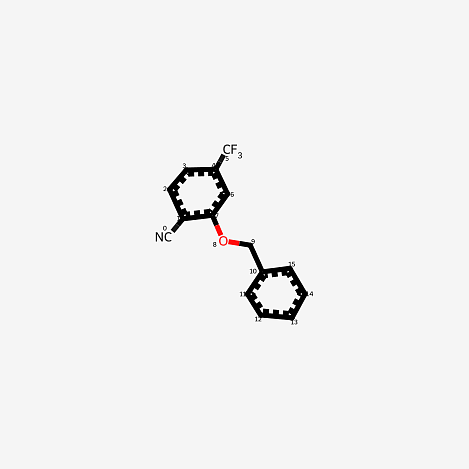 N#Cc1ccc(C(F)(F)F)cc1OCc1ccccc1